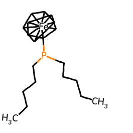 CCCCCP(CCCCC)[C]12[CH]3[CH]4[CH]5[CH]1[Fe]45321678[CH]2[CH]1[CH]6[CH]7[CH]28